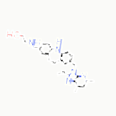 CCc1nc2c(C)cc(C)nc2n1Cc1ccc2c(c1)CCc1cc(CNCCO)ccc1N2